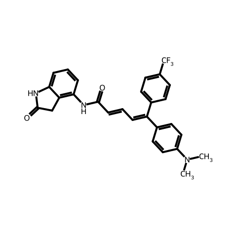 CN(C)c1ccc(C(=CC=CC(=O)Nc2cccc3c2CC(=O)N3)c2ccc(C(F)(F)F)cc2)cc1